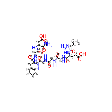 CCC(N)C(=O)NC(CCC(=O)O)C(=O)NCC(=O)NCC(=O)NCC(=O)NC(Cc1ccccc1)C(=O)NCC(=O)NC(CC(=O)O)C(N)=O